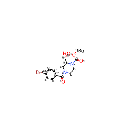 CC(C)(C)OC(=O)N1CCN(C(=O)c2ccc(Br)cc2)CC1CO